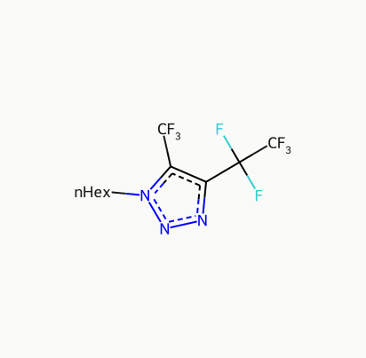 CCCCCCn1nnc(C(F)(F)C(F)(F)F)c1C(F)(F)F